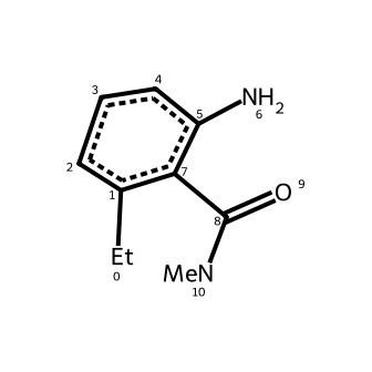 CCc1cccc(N)c1C(=O)NC